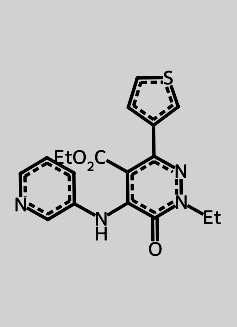 CCOC(=O)c1c(-c2ccsc2)nn(CC)c(=O)c1Nc1cccnc1